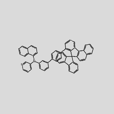 c1cncc(N(c2cccc(-c3ccc(-c4cccc5c4C4(c6ccccc6-c6ccccc64)c4ccc6ccccc6c4-5)cc3)c2)c2cccc3ccccc23)c1